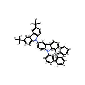 CC(C)(C)c1ccc2c(c1)c1cc(C(C)(C)C)ccc1n2-c1ccc2c(c1)c1cccc3c1n2-c1ccccc1[Si]3(c1ccccc1)c1ccccc1